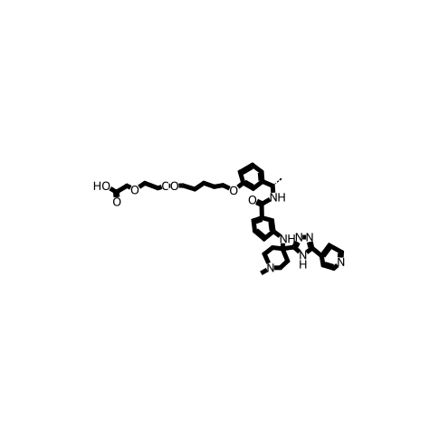 C[C@H](NC(=O)c1cccc(NC2(c3nnc(-c4ccncc4)[nH]3)CCN(C)CC2)c1)c1cccc(OCCCCCOCCCOCC(=O)O)c1